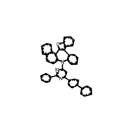 c1ccc(-c2ccc(-c3cc(N4c5ccccc5-c5c(oc6ccccc56)-c5c4ccc4ccccc54)nc(-c4ccccc4)n3)cc2)cc1